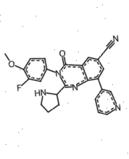 COc1ccc(-n2c(C3CCCN3)nc3c(-c4cccnc4)cc(C#N)cc3c2=O)cc1F